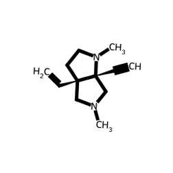 C#C[C@@]12CN(C)C[C@]1(C=C)CCN2C